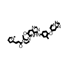 Cc1cc(Nc2ncnc3cc4c(nc23)N2CCN(C(=O)/C=C/C3CCCN3C)C(CO4)C2)ccc1Oc1ccn2ncnc2c1